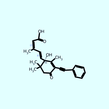 CC1=C(C#Cc2ccccc2)C(=O)CC(C)(C)[C@@]1(O)/C=C/C(C)=C\C(=O)O